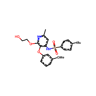 COc1cccc(Oc2c(NS(=O)(=O)c3ccc(C(C)(C)C)cc3)cc(C)nc2OCCO)c1